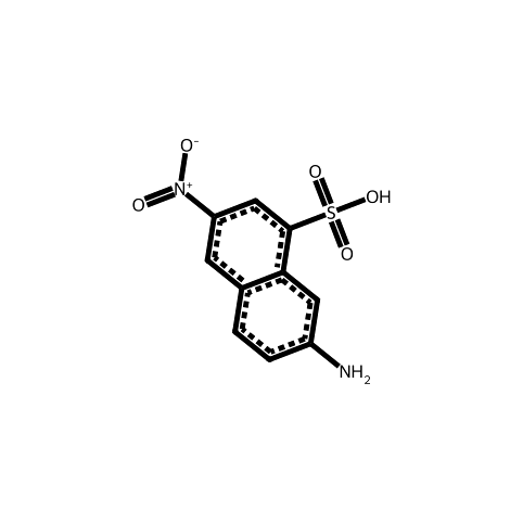 Nc1ccc2cc([N+](=O)[O-])cc(S(=O)(=O)O)c2c1